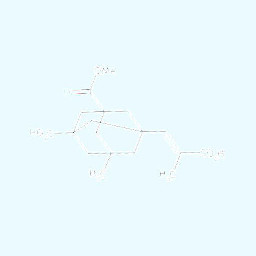 COC(=O)C12CC3(C)CC(C=C(C)C(=O)O)(CC(C(=O)O)(C3)C1)C2